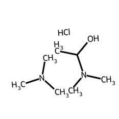 CC(O)N(C)C.CN(C)C.Cl